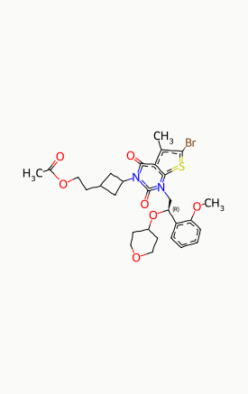 COc1ccccc1[C@H](Cn1c(=O)n(C2CC(CCOC(C)=O)C2)c(=O)c2c(C)c(Br)sc21)OC1CCOCC1